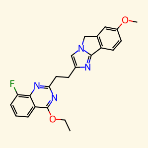 CCOc1nc(CCc2cn3c(n2)-c2ccc(OC)cc2C3)nc2c(F)cccc12